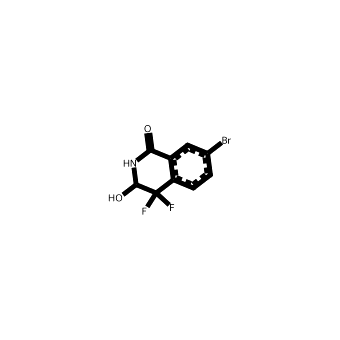 O=C1NC(O)C(F)(F)c2ccc(Br)cc21